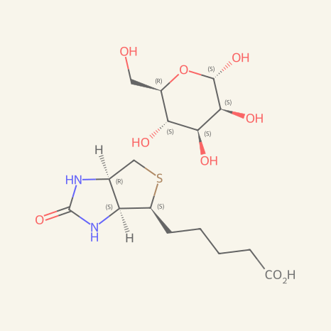 O=C(O)CCCC[C@@H]1SC[C@@H]2NC(=O)N[C@@H]21.OC[C@H]1O[C@H](O)[C@@H](O)[C@@H](O)[C@@H]1O